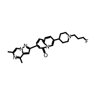 Cc1cn2nc(C3=C\C(=O)N4C=C(C5CCN(CCCF)CC5)C=C\C4=C/C=C/3)cc2c(C)n1